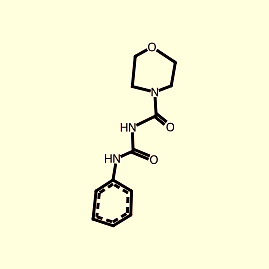 O=C(NC(=O)N1CCOCC1)Nc1ccccc1